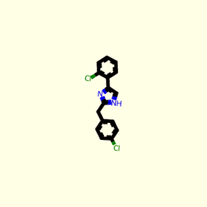 Clc1ccc(Cc2nc(-c3ccccc3Cl)c[nH]2)cc1